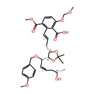 COCOc1ccc(C(=O)OC)c(/C=C/C[C@@H]2OC(C)(C)O[C@@H]2C(/C=C\C[C@H](C)O)OCc2ccc(OC)cc2)c1C(=O)O